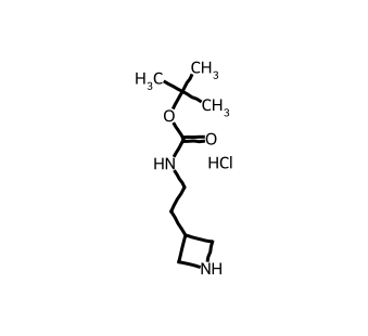 CC(C)(C)OC(=O)NCCC1CNC1.Cl